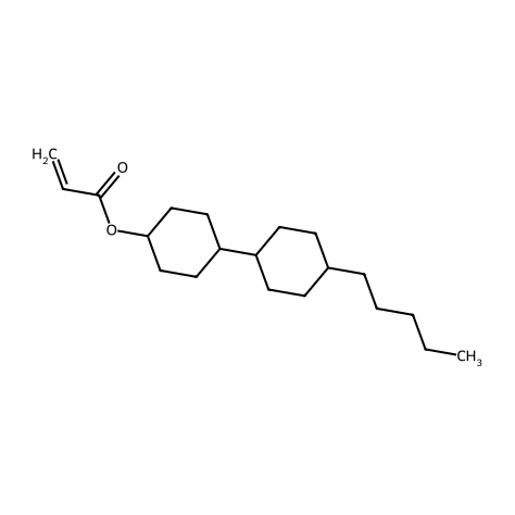 C=CC(=O)OC1CCC(C2CCC(CCCCC)CC2)CC1